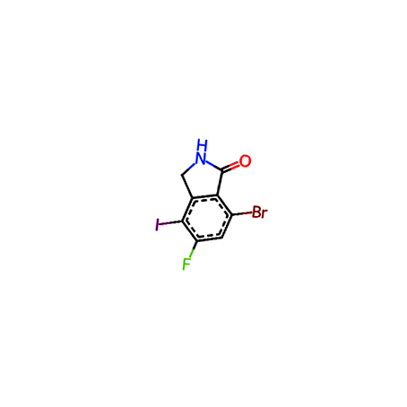 O=C1NCc2c(I)c(F)cc(Br)c21